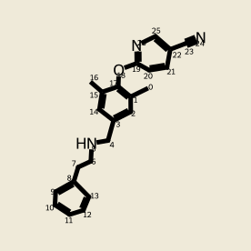 Cc1cc(CNCCc2ccccc2)cc(C)c1Oc1ccc(C#N)cn1